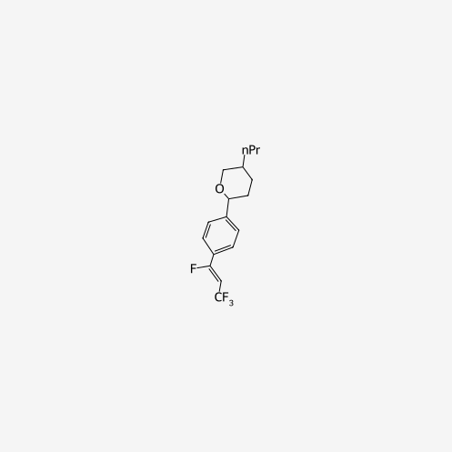 CCCC1CCC(c2ccc(/C(F)=C/C(F)(F)F)cc2)OC1